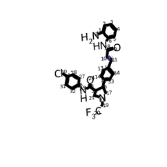 Nc1ccccc1NC(=O)/C=C/c1ccc(C2CN(CC(F)(F)F)CC2C(=O)Nc2ccc(Cl)cc2)cc1